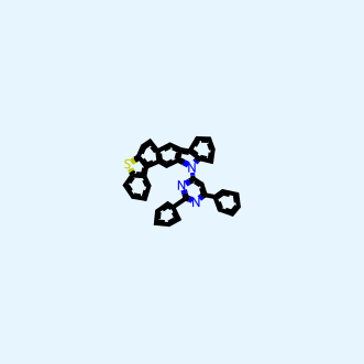 c1ccc(-c2cc(-n3c4ccccc4c4cc5ccc6sc7ccccc7c6c5cc43)nc(-c3ccccc3)n2)cc1